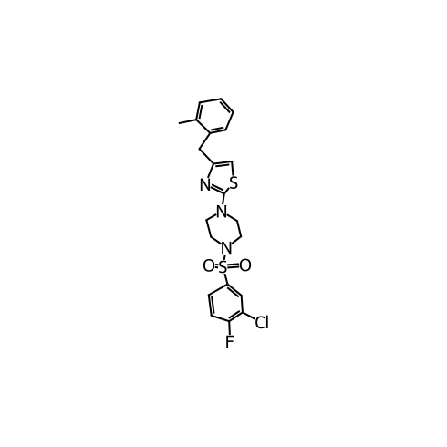 Cc1ccccc1Cc1csc(N2CCN(S(=O)(=O)c3ccc(F)c(Cl)c3)CC2)n1